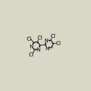 Clc1nc(Cl)c(Cl)c(-c2n[c]c(Cl)c(Cl)n2)n1